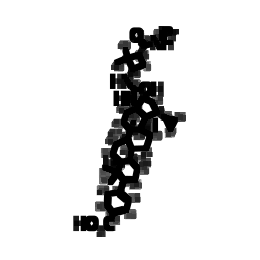 CC(C)NC(=O)[C@H]1C[C@@H](NC(O)N[C@]23CC[C@@H](C4CC4)C2[C@H]2CCC4[C@@]5(C)CC=C(c6ccc(C(=O)O)cc6)C(C)(C)[C@@H]5CC[C@@]4(C)[C@]2(C)CC3)C1(C)C